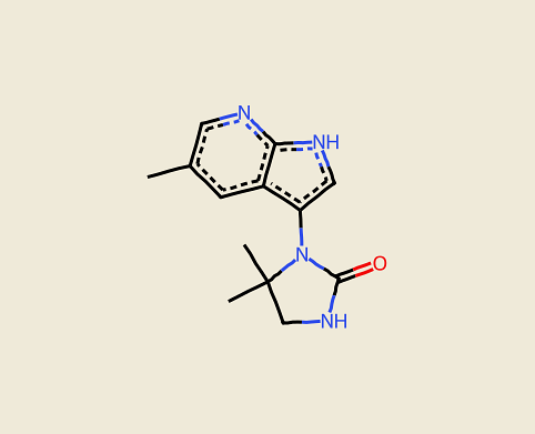 Cc1cnc2[nH]cc(N3C(=O)NCC3(C)C)c2c1